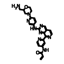 C=CC(=O)Nc1ccnc(-c2nccc3cnc(Nc4ccc(N5CCOC(CN)C5)nc4)nc23)c1